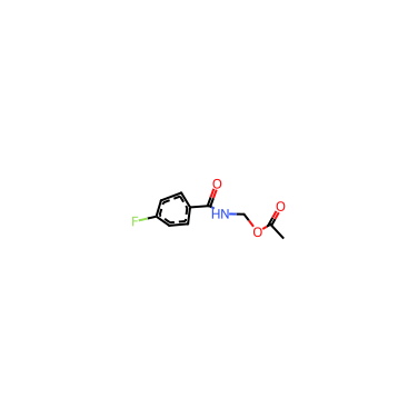 CC(=O)OCNC(=O)c1ccc(F)cc1